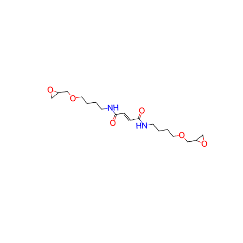 O=C(C=CC(=O)NCCCCOCC1CO1)NCCCCOCC1CO1